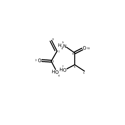 C=CC(=O)O.CC(O)C(N)=O